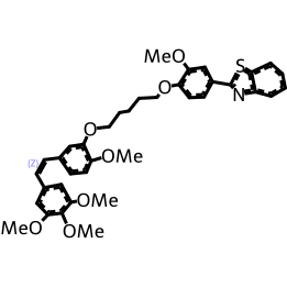 COc1cc(-c2nc3ccccc3s2)ccc1OCCCCCOc1cc(/C=C\c2cc(OC)c(OC)c(OC)c2)ccc1OC